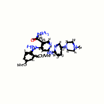 COc1ccc(Nc2cc(Nc3ccc(N4CCN(C)CC4)cn3)ncc2C(N)=O)c(OC)c1